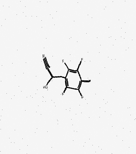 Cc1c(F)c(F)c(C(O)C#N)c(F)c1F